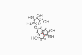 OCC1O[C@@H](O/C(=C/c2c(O)cccc2O)Cc2ccc(O)c(O)c2)[C@@H](O)C(O)[C@@H]1O